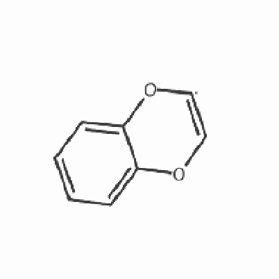 [C]1=COc2ccccc2O1